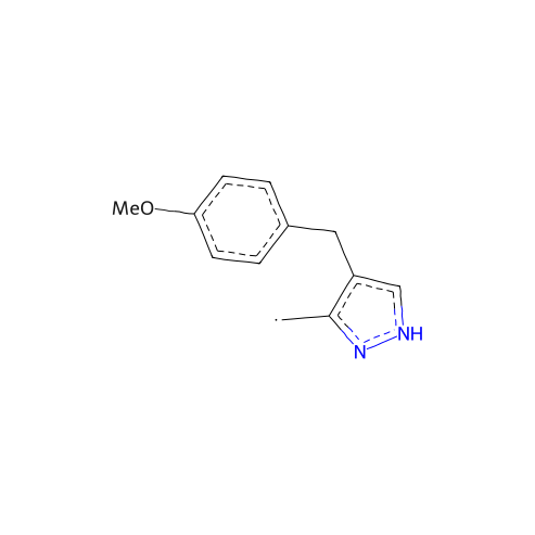 [CH2]c1n[nH]cc1Cc1ccc(OC)cc1